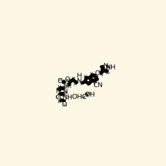 N#Cc1cc(OCc2cn[nH]c2)cc2c1CC(CNCCC1CN(c3cnc4c(n3)NC(=O)CO4)C(=O)O1)C2.O=CO